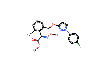 CO/N=C(/C(=O)OC)c1c(C)cccc1COc1ccn(-c2ccc(Cl)cc2)n1